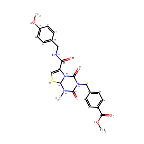 COC(=O)c1ccc(CN2C(=O)N(C)C3SC=C(C(=O)NCc4ccc(OC)cc4)N3C2=O)cc1